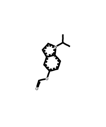 CC(C)n1ccc2cc(OC=O)ccc21